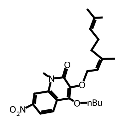 CCCCOc1c(OCC=C(C)CCC=C(C)C)c(=O)n(C)c2cc([N+](=O)[O-])ccc12